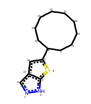 c1n[nH]c2sc(C3CCCCCCCCC3)cc12